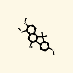 COc1ccc2c(c1)C(C)(C)c1c-2c(O)cc2c(OC)c(OC)ccc12